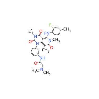 Cc1ccc(Nc2c3c(=O)n(C4CC4)c(=O)n(-c4cccc(NC(=O)CN(C)C)c4)c3c(C)c(=O)n2C)c(F)c1